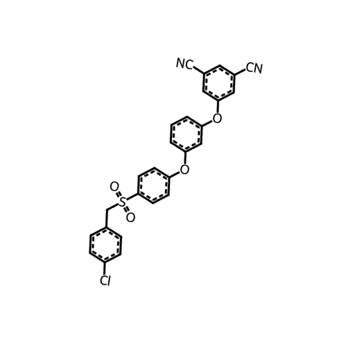 N#Cc1cc(C#N)cc(Oc2cccc(Oc3ccc(S(=O)(=O)Cc4ccc(Cl)cc4)cc3)c2)c1